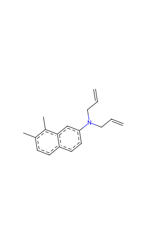 C=CCN(CC=C)c1ccc2ccc(C)c(C)c2c1